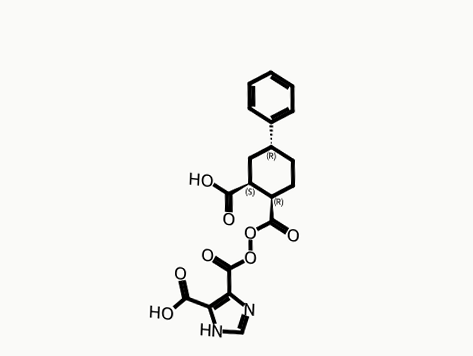 O=C(OOC(=O)[C@@H]1CC[C@@H](c2ccccc2)C[C@@H]1C(=O)O)c1nc[nH]c1C(=O)O